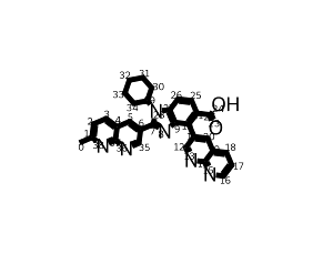 Cc1ccc2cc(-c3nc4c(-c5cnc6ncccc6c5)c(C(=O)O)ccc4n3C3CCCCC3)cnc2n1